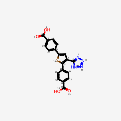 O=C(O)c1ccc(-c2cc(-c3nnn[nH]3)c(-c3ccc(C(=O)O)cc3)s2)cc1